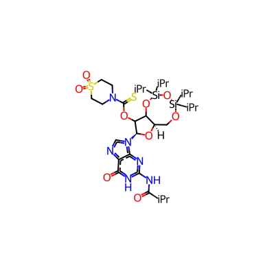 CC(C)C(=O)Nc1nc2c(ncn2[C@@H]2O[C@@H]3CO[Si](C(C)C)(C(C)C)O[Si](C(C)C)(C(C)C)OC3C2OC(=S)N2CCS(=O)(=O)CC2)c(=O)[nH]1